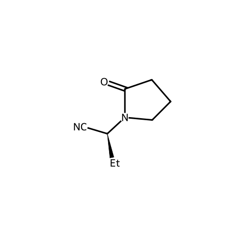 CC[C@@H](C#N)N1CCCC1=O